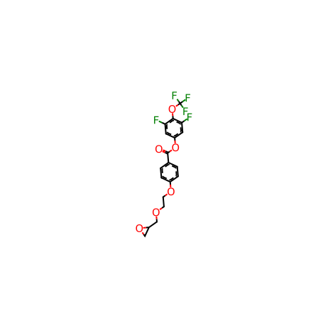 O=C(Oc1cc(F)c(OC(F)(F)F)c(F)c1)c1ccc(OCCOCC2CO2)cc1